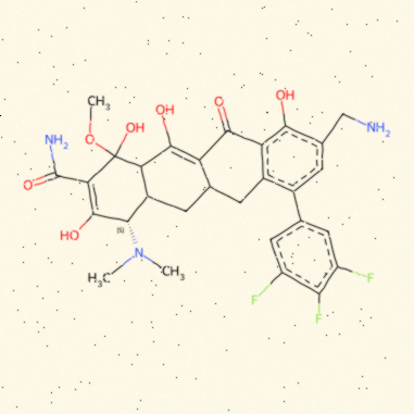 COC1(O)C(C(N)=O)=C(O)[C@@H](N(C)C)C2CC3Cc4c(-c5cc(F)c(F)c(F)c5)cc(CN)c(O)c4C(=O)C3=C(O)C21